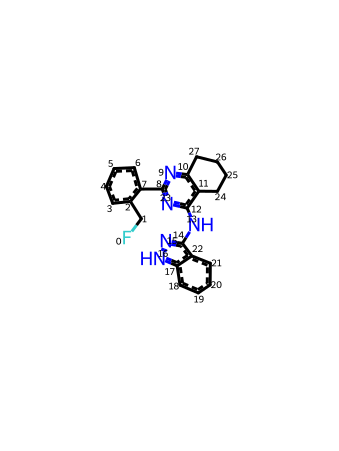 FCc1ccccc1-c1nc2c(c(Nc3n[nH]c4ccccc34)n1)CCCC2